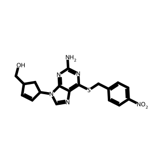 Nc1nc(SCc2ccc([N+](=O)[O-])cc2)c2ncn(C3C=CC(CO)C3)c2n1